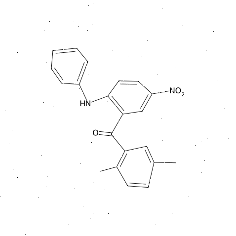 Cc1ccc(C)c(C(=O)c2cc([N+](=O)[O-])ccc2Nc2ccccc2)c1